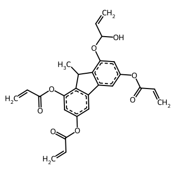 C=CC(=O)Oc1cc(OC(=O)C=C)c2c(c1)-c1cc(OC(=O)C=C)cc(OC(O)C=C)c1C2C